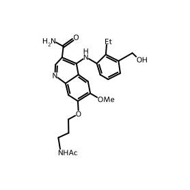 CCc1c(CO)cccc1Nc1c(C(N)=O)cnc2cc(OCCCNC(C)=O)c(OC)cc12